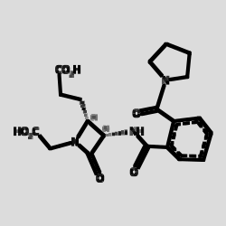 O=C(O)CC[C@@H]1[C@H](NC(=O)c2ccccc2C(=O)N2CCCC2)C(=O)N1CC(=O)O